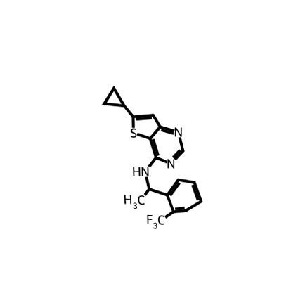 CC(Nc1ncnc2cc(C3CC3)sc12)c1ccccc1C(F)(F)F